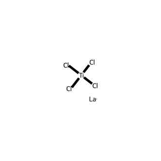 [Cl][Ti]([Cl])([Cl])[Cl].[La]